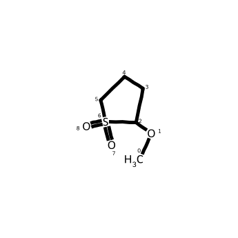 COC1CCCS1(=O)=O